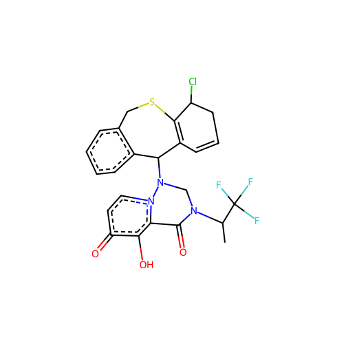 CC(N1CN(C2C3=C(SCc4ccccc42)C(Cl)CC=C3)n2ccc(=O)c(O)c2C1=O)C(F)(F)F